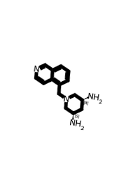 N[C@@H]1C[C@H](N)CN(Cc2cccc3cnccc23)C1